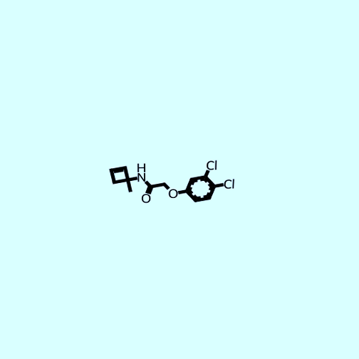 CC1(NC(=O)COc2ccc(Cl)c(Cl)c2)C=CC1